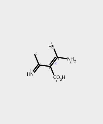 CC(=N)/C(C(=O)O)=C(/N)S